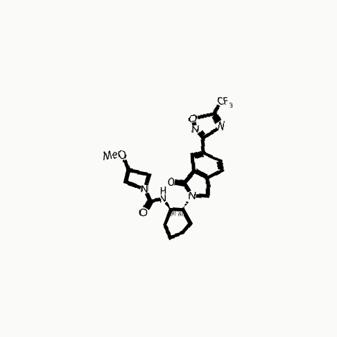 COC1CN(C(=O)N[C@@H]2CCCC[C@H]2N2Cc3ccc(-c4noc(C(F)(F)F)n4)cc3C2=O)C1